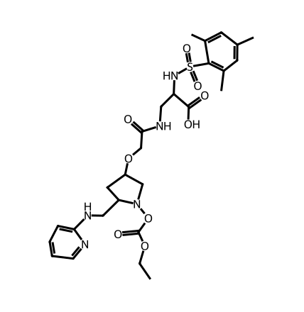 CCOC(=O)ON1CC(OCC(=O)NCC(NS(=O)(=O)c2c(C)cc(C)cc2C)C(=O)O)CC1CNc1ccccn1